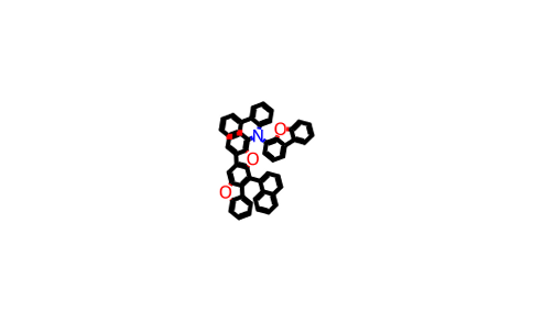 c1ccc(-c2ccccc2N(c2cccc3c2oc2ccccc23)c2cccc3c2oc2c(-c4cccc5ccccc45)c4c(cc23)oc2ccccc24)cc1